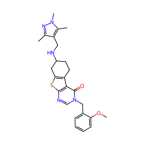 COc1ccccc1Cn1cnc2sc3c(c2c1=O)CCC(NCc1c(C)nn(C)c1C)C3